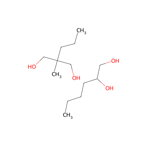 CCCC(C)(CO)CO.CCCCC(O)CO